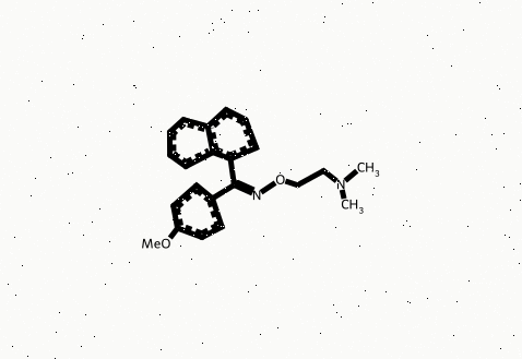 COc1ccc(/C(=N/OCCN(C)C)c2cccc3ccccc23)cc1